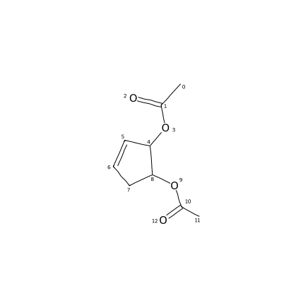 CC(=O)OC1C=CCC1OC(C)=O